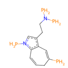 PC1=Cc2c(CCN(P)P)cn(P)c2C=CC1